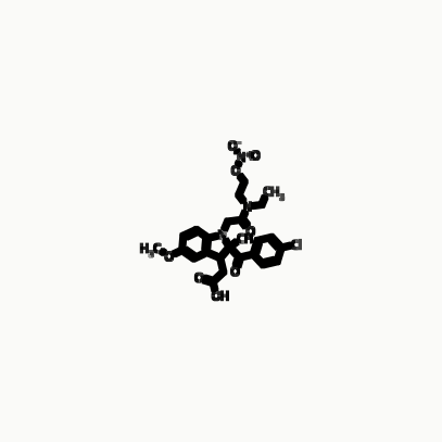 CCN(CCO[N+](=O)[O-])C(=O)CN1c2ccc(OC)cc2C(CC(=O)O)C1(C)C(=O)c1ccc(Cl)cc1